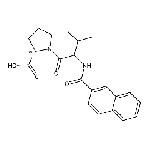 CC(C)C(NC(=O)c1ccc2ccccc2c1)C(=O)N1CCC[C@H]1C(=O)O